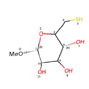 CO[C@@H]1OC(CS)[C@H](O)C(O)C1O